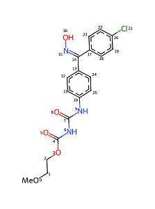 COCCOC(=O)NC(=O)Nc1ccc(/C(=N/O)c2ccc(Cl)cc2)cc1